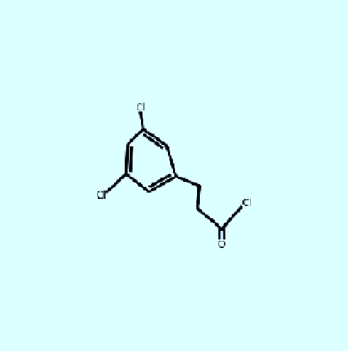 O=C(Cl)CCc1cc(Cl)cc(Cl)c1